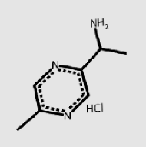 Cc1cnc(C(C)N)cn1.Cl